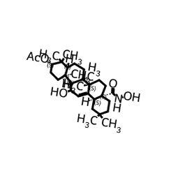 CC(=O)O[C@H]1CC[C@]2(C)[C@H]3C(O)C=C4[C@@H]5CC(C)(C)CC[C@]5(C(=O)NO)CC[C@@]4(C)[C@]3(C)CC[C@H]2C1(C)C